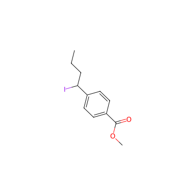 CCCC(I)c1ccc(C(=O)OC)cc1